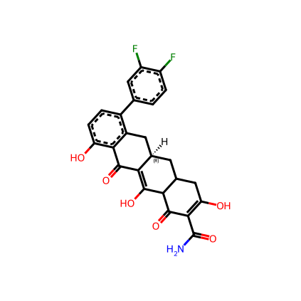 NC(=O)C1=C(O)CC2C[C@@H]3Cc4c(-c5ccc(F)c(F)c5)ccc(O)c4C(=O)C3=C(O)C2C1=O